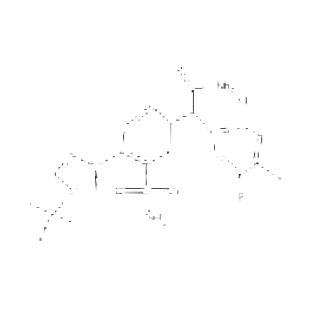 NC(=O)C(c1ccc(-n2cc(C(F)(F)F)cn2)c(S(N)(=O)=O)c1)c1cc(F)c(F)cc1Cl